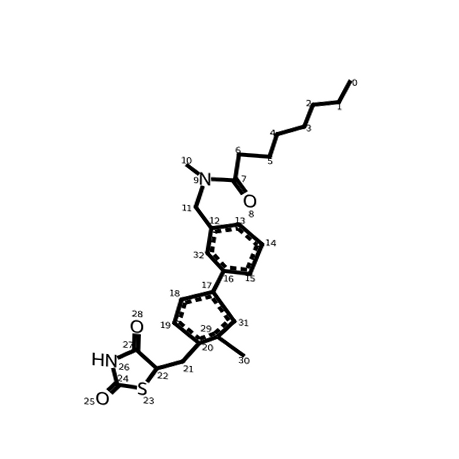 CCCCCCCC(=O)N(C)Cc1cccc(-c2ccc(CC3SC(=O)NC3=O)c(C)c2)c1